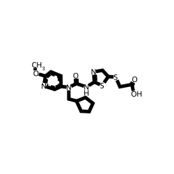 COc1ccc(N(CC2CCCC2)C(=O)NC2=NCC(SCC(=O)O)S2)cn1